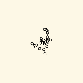 c1ccc(-c2cc(-c3ccccc3)cc(-c3cccc(-c4nc(-n5c6ccccc6c6cc(-c7ccc8sc9ccccc9c8c7)ccc65)nc(-n5c6ccccc6c6cc(-c7ccc8sc9ccccc9c8c7)ccc65)n4)c3)c2)cc1